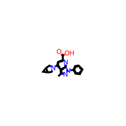 Cc1nn(-c2ccccc2)c2nc(C(=O)O)cc(N3CC4CC4C3)c12